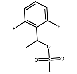 CC(OS(C)(=O)=O)c1c(F)cccc1F